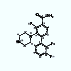 NC(=O)c1ccc(-c2cccc(F)c2F)c(N2CCNCC2)c1F